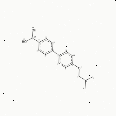 CC(C)COc1ccc(-c2ccc(B(O)O)cc2)cc1